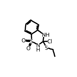 CCSC1(Cl)Nc2ccccc2S(=O)(=O)N1